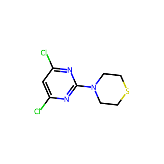 Clc1cc(Cl)nc(N2CCSCC2)n1